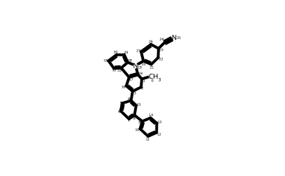 CC1CC(c2cccc(-c3ccccc3)c2)=Cc2c1n(C1=CCC(C#N)C=C1)c1ccccc21